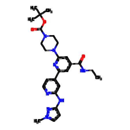 CCNC(=O)c1cc(-c2ccnc(Nc3ccn(C)n3)c2)nc(N2CCN(C(=O)OC(C)(C)C)CC2)c1